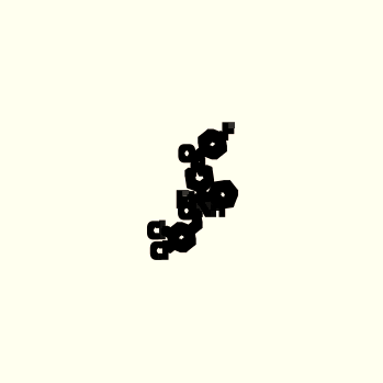 [CH2]CC(NC(=O)Cc1ccc(Cl)c(Cl)c1)(c1ccccc1)C1CCN(C(=O)c2ccc(F)cc2)CC1